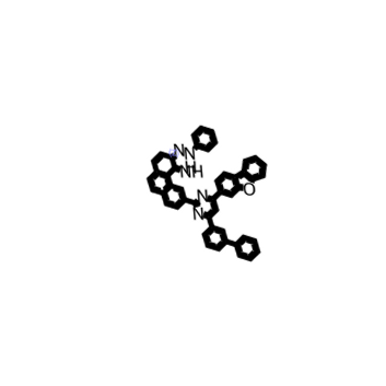 N=C1/C(=N\Nc2ccccc2)C=Cc2ccc3ccc(-c4nc(-c5cccc(-c6ccccc6)c5)cc(-c5ccc6c(c5)oc5ccccc56)n4)cc3c21